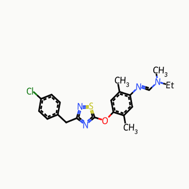 CCN(C)C=Nc1cc(C)c(Oc2nc(Cc3ccc(Cl)cc3)ns2)cc1C